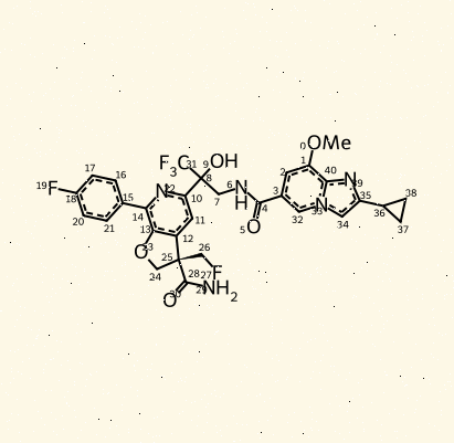 COc1cc(C(=O)NCC(O)(c2cc3c(c(-c4ccc(F)cc4)n2)OC[C@@]3(CF)C(N)=O)C(F)(F)F)cn2cc(C3CC3)nc12